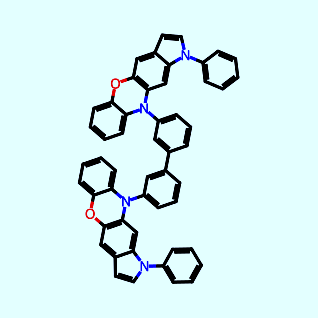 c1ccc(-n2ccc3cc4c(cc32)N(c2cccc(-c3cccc(N5c6ccccc6Oc6cc7ccn(-c8ccccc8)c7cc65)c3)c2)c2ccccc2O4)cc1